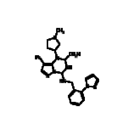 CC(C)c1cnn2c1N(C1CCN(C)C1)C(C(=O)O)NC2NCc1ccccc1-n1cccn1